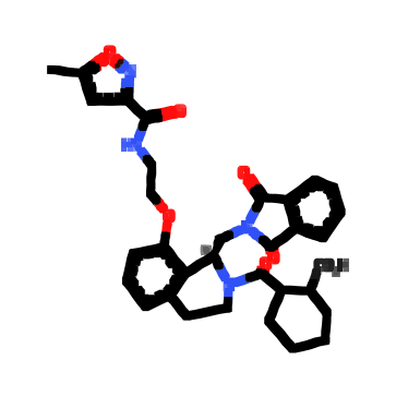 Cc1cc(C(=O)NCCOc2cccc3c2[C@@H](CN2C(=O)c4ccccc4C2=O)N(C(=O)C2CCCCC2C(=O)O)CC3)no1